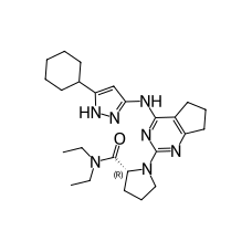 CCN(CC)C(=O)[C@H]1CCCN1c1nc2c(c(Nc3cc(C4CCCCC4)[nH]n3)n1)CCC2